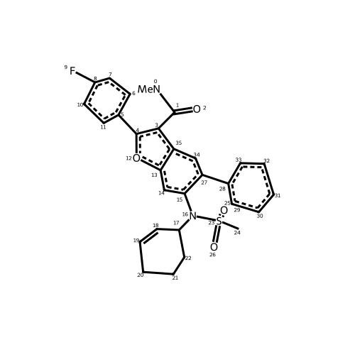 CNC(=O)c1c(-c2ccc(F)cc2)oc2cc(N(C3C=CCCC3)S(C)(=O)=O)c(-c3ccccc3)cc12